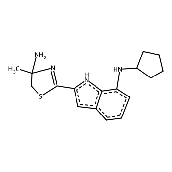 CC1(N)CSC(c2cc3cccc(NC4CCCC4)c3[nH]2)=N1